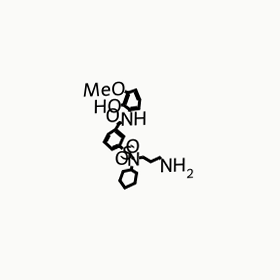 COc1cccc(NC(=O)c2cccc(S(=O)(=O)N(CCCN)C3CCCCC3)c2)c1O